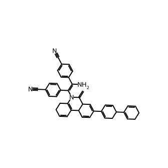 C=C1C2C=C(C3=CCC(C4=CCCC=C4)C=C3)C=CC2C2=C(CCC=C2)N1/C(=C(\N)c1ccc(C#N)cc1)c1ccc(C#N)cc1